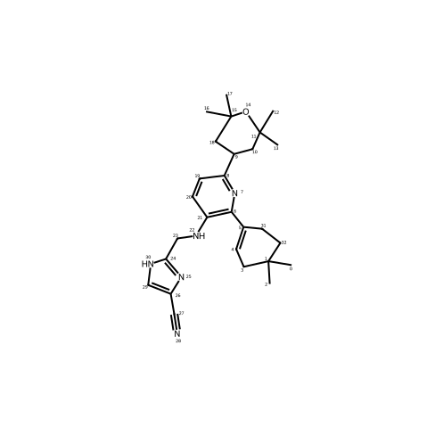 CC1(C)CC=C(c2nc(C3CC(C)(C)OC(C)(C)C3)ccc2NCc2nc(C#N)c[nH]2)CC1